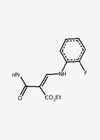 CCCC(=O)/C(=C/Nc1ccccc1F)C(=O)OCC